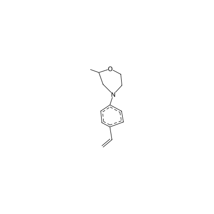 C=Cc1ccc(N2CCOC(C)C2)cc1